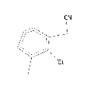 CCc1c(C)cccc1CC#N